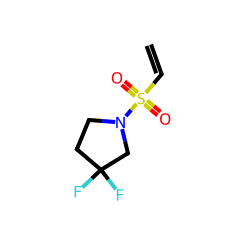 C=CS(=O)(=O)N1CCC(F)(F)C1